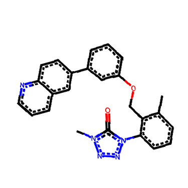 Cc1cccc(-n2nnn(C)c2=O)c1COc1cccc(-c2ccc3ncccc3c2)c1